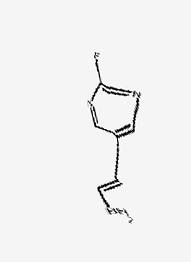 B/C=C/c1cnc(F)nc1